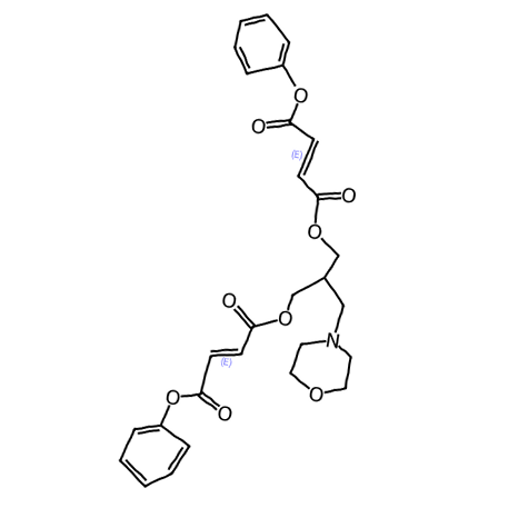 O=C(/C=C/C(=O)Oc1ccccc1)OCC(COC(=O)/C=C/C(=O)Oc1ccccc1)CN1CCOCC1